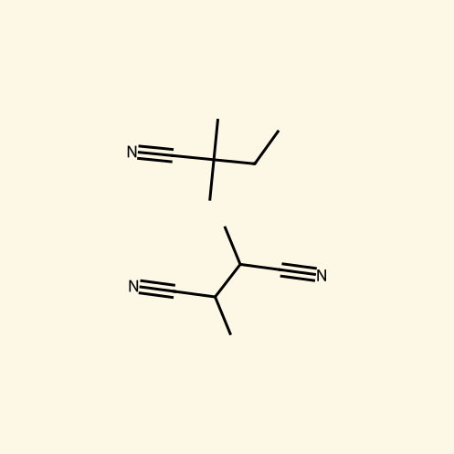 CC(C#N)C(C)C#N.CCC(C)(C)C#N